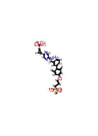 Cc1cc(OCCCS(C)(=O)=O)cc(C)c1-c1cccc(CNc2cnc([C@H]3C[C@@H]3C(=O)O)cn2)c1